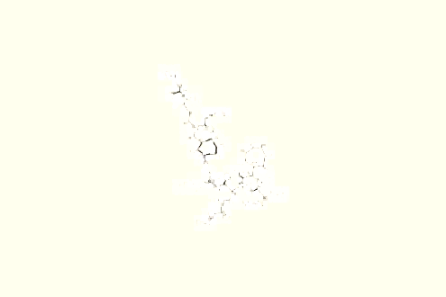 CCC[C@H](NC)C(=O)N[C@H](C(=O)N[C@@H](CNC(=O)OC(C)(C)C)C(=O)N[C@@H](COc1cccc(CN(CCCNC(=O)OC(C)(C)C)C(=O)OC(C)(C)C)c1)C(=O)O)C1CCCCCC1